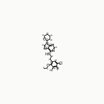 CCOc1c(CCNc2ncnc3c2ncn3C2CCCCO2)cc(Cl)c(F)c1I